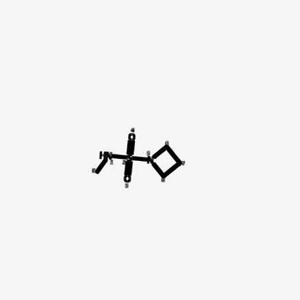 CNS(=O)(=O)N1C[CH]C1